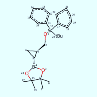 CC1(C)OB([C@@H]2C[C@H]2CO[Si](c2ccccc2)(c2ccccc2)C(C)(C)C)OC1(C)C